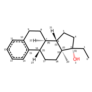 CC[C@]1(O)CC[C@H]2[C@@H]3CCc4ccccc4[C@H]3CC[C@@]21C